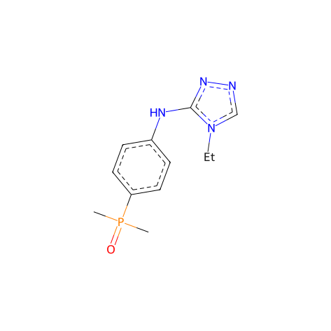 CCn1cnnc1Nc1ccc(P(C)(C)=O)cc1